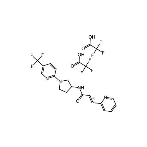 O=C(/C=C/c1ccccn1)NC1CCN(c2ccc(C(F)(F)F)cn2)C1.O=C(O)C(F)(F)F.O=C(O)C(F)(F)F